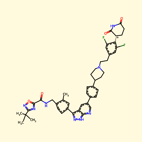 Cc1cc(-c2n[nH]c3ncc(-c4ccc(C5CCN(CCc6cc(F)c([C@H]7CCC(=O)NC7=O)c(F)c6)CC5)cc4)cc23)ccc1CNC(=O)c1nc(C(C)(C)C)no1